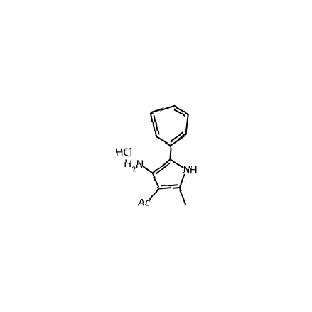 CC(=O)c1c(C)[nH]c(-c2ccccc2)c1N.Cl